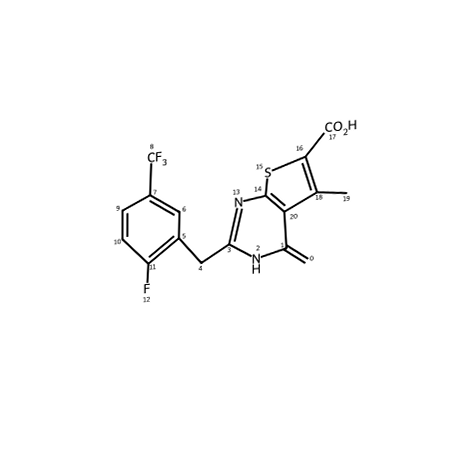 C=C1NC(Cc2cc(C(F)(F)F)ccc2F)=Nc2sc(C(=O)O)c(C)c21